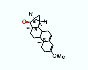 COC1=CC2=CCC3C(CC[C@]4(C)C(=O)[C@H]5C[C@H]5C34)[C@@]2(C)CC1